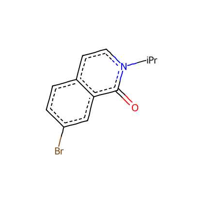 CC(C)n1ccc2ccc(Br)cc2c1=O